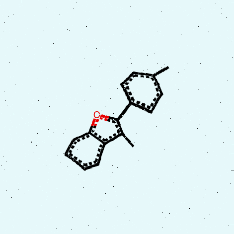 Cc1ccc(-c2oc3ccccc3c2C)cc1